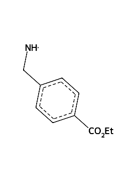 CCOC(=O)c1ccc(C[NH])cc1